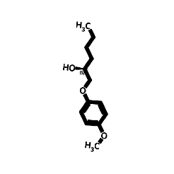 CCCC[C@H](O)COc1ccc(OC)cc1